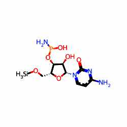 Nc1ccn([C@@H]2O[C@H](CO[SiH3])[C@@H](OP(N)O)[C@H]2O)c(=O)n1